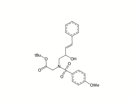 COc1ccc(S(=O)(=O)N(CC(=O)OC(C)(C)C)CC(O)C=Cc2ccccc2)cc1